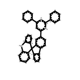 c1ccc(-c2cc(-c3ccc4c(c3)C3(c5ccccc5Oc5ccccc53)c3ccccc3-4)nc(-c3ccccc3)n2)cc1